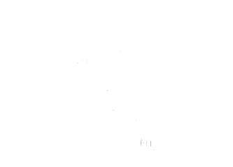 B[C@@H](CC)O[C@H](CO)COC